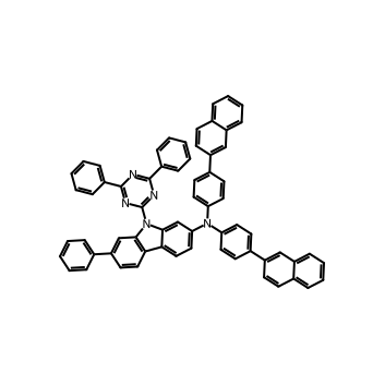 c1ccc(-c2ccc3c4ccc(N(c5ccc(-c6ccc7ccccc7c6)cc5)c5ccc(-c6ccc7ccccc7c6)cc5)cc4n(-c4nc(-c5ccccc5)nc(-c5ccccc5)n4)c3c2)cc1